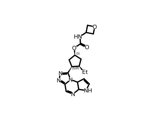 CC[C@@H]1C[C@H](OC(=O)NC2COC2)C[C@@H]1c1nnc2n1C1C=CNC1N=C2